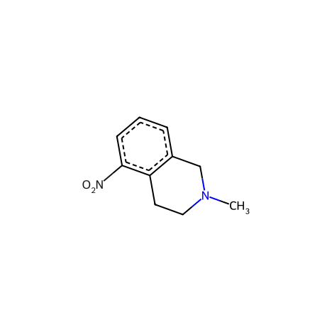 CN1CCc2c(cccc2[N+](=O)[O-])C1